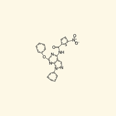 O=C(Nc1nc(Oc2ccccc2)nc2c1cnn2-c1ccccc1)c1ccc([N+](=O)[O-])s1